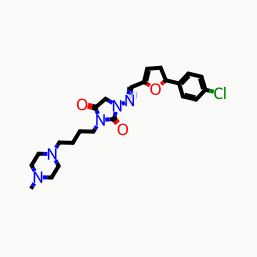 CN1CCN(CCCCN2C(=O)CN(/N=C/C3=CCC(c4ccc(Cl)cc4)O3)C2=O)CC1